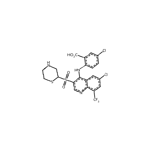 O=C(O)c1cc(Cl)ccc1Nc1c(S(=O)(=O)C2CNCCS2)cnc2c(C(F)(F)F)cc(Cl)cc12